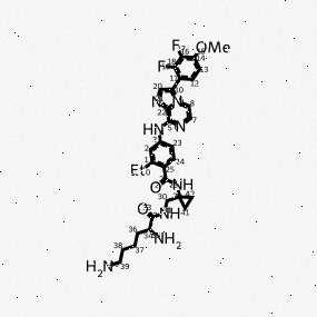 CCc1cc(Nc2nccn3c(-c4ccc(OC)c(F)c4F)cnc23)ccc1C(=O)NC1(CNC(=O)C(N)CCCCN)CC1